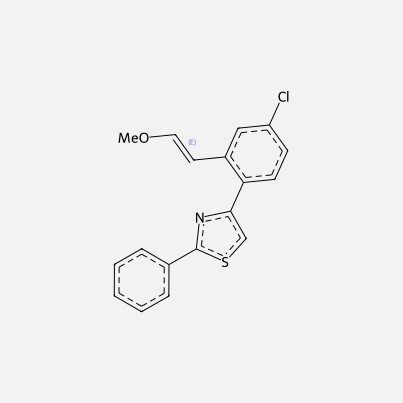 CO/C=C/c1cc(Cl)ccc1-c1csc(-c2ccccc2)n1